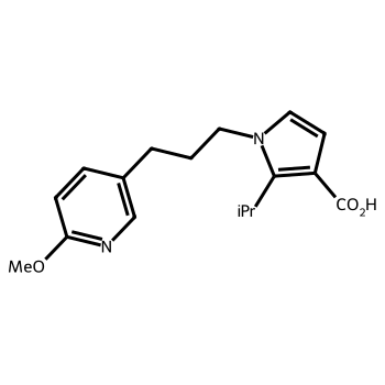 COc1ccc(CCCn2ccc(C(=O)O)c2C(C)C)cn1